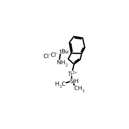 CC(C)(C)N.C[SiH](C)[Ti+2][C]1=Cc2ccccc2C1.[Cl-].[Cl-]